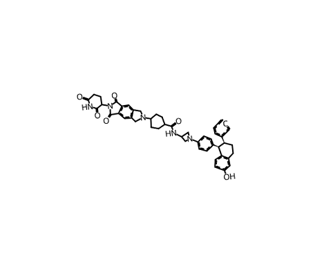 O=C1CCC(N2C(=O)c3cc4c(cc3C2=O)CN(C2CCC(C(=O)NC3CN(c5ccc([C@@H]6c7ccc(O)cc7CC[C@@H]6c6ccccc6)cc5)C3)CC2)C4)C(=O)N1